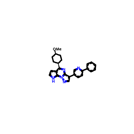 CO[C@H]1CC[C@@H](c2nc3c(-c4ccc(-c5ccccc5)nc4)cnn3c3[nH]ccc32)CC1